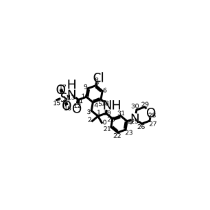 CC1(C)Cc2c(cc(Cl)cc2C(=O)NS(C)(=O)=O)NC1c1cccc(N2CCOCC2)c1